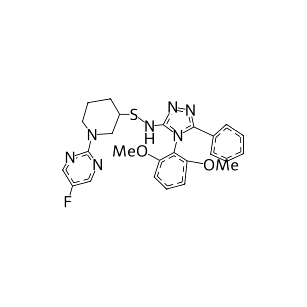 COc1cccc(OC)c1-n1c(NSC2CCCN(c3ncc(F)cn3)C2)nnc1-c1ccccc1